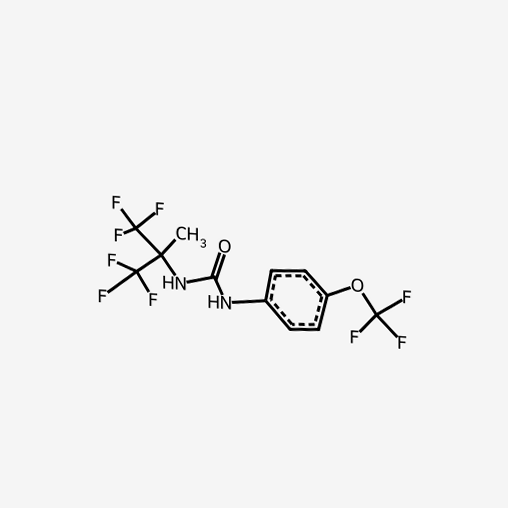 CC(NC(=O)Nc1ccc(OC(F)(F)F)cc1)(C(F)(F)F)C(F)(F)F